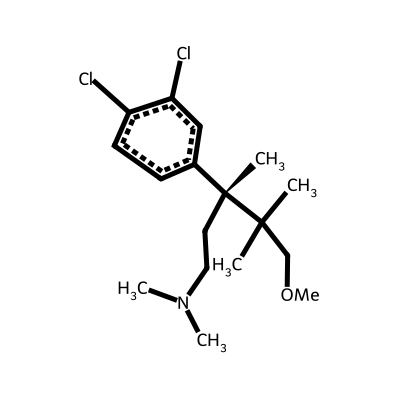 COCC(C)(C)[C@](C)(CCN(C)C)c1ccc(Cl)c(Cl)c1